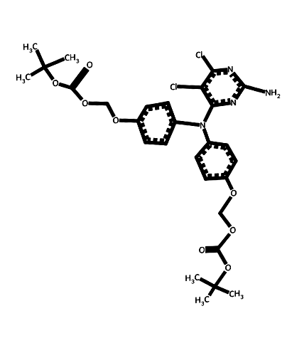 CC(C)(C)OC(=O)OCOc1ccc(N(c2ccc(OCOC(=O)OC(C)(C)C)cc2)c2nc(N)nc(Cl)c2Cl)cc1